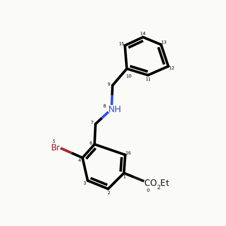 CCOC(=O)c1ccc(Br)c(CNCc2ccccc2)c1